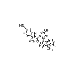 C#Cc1ccc(C2(NC(=O)[C@@H]3C[C@@H](O)CN3C(=O)[C@@H](N)C(C)(C)C)CC2)cc1